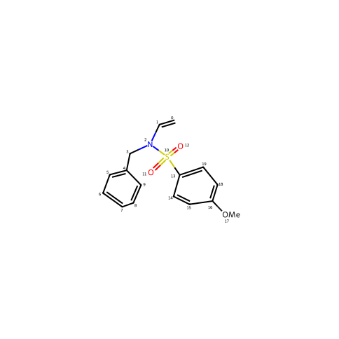 C=CN(Cc1ccccc1)S(=O)(=O)c1ccc(OC)cc1